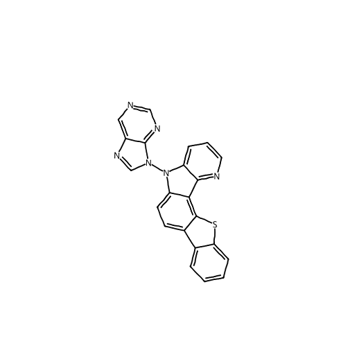 c1ccc2c(c1)sc1c2ccc2c1c1ncccc1n2-n1cnc2cncnc21